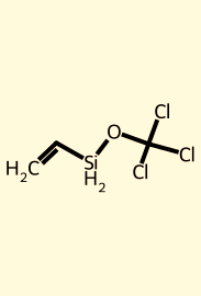 C=C[SiH2]OC(Cl)(Cl)Cl